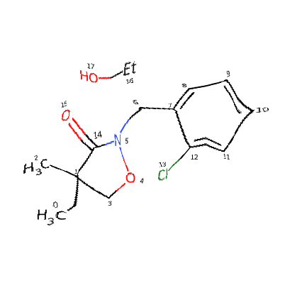 CC1(C)CON(Cc2ccccc2Cl)C1=O.CCO